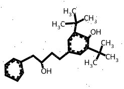 CC(C)(C)c1cc(CCC(O)Cc2ccccc2)cc(C(C)(C)C)c1O